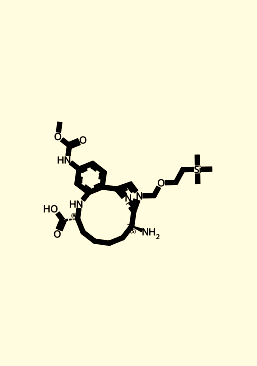 COC(=O)Nc1ccc2c(c1)N[C@@H](C(=O)O)CCCC[C@H](N)c1nc-2cn1COCC[Si](C)(C)C